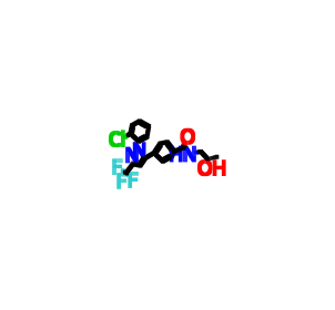 C[C@@H](O)CNC(=O)c1ccc(-c2cc(C(F)(F)F)nn2-c2ccccc2Cl)cc1